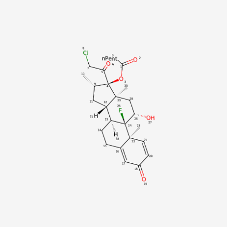 CCCCCC(=O)O[C@]1(C(=O)CCl)[C@@H](C)C[C@H]2[C@@H]3CCC4=CC(=O)C=C[C@]4(C)[C@@]3(F)[C@@H](O)C[C@@]21C